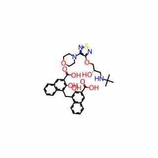 CC(C)(C)NC[C@H](O)COc1nsnc1N1CCOCC1.O=C(O)c1cc2ccccc2c(Cc2c(O)c(C(=O)O)cc3ccccc23)c1O